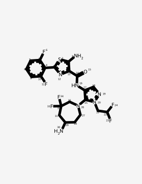 Nc1sc(-c2c(F)cccc2F)nc1C(=O)Nc1cnn(CC(F)F)c1N1CCC(N)CC(F)(F)C1